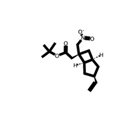 C=C[C@@H]1C[C@@H]2C[C@@](CC(=O)OC(C)(C)C)(C[N+](=O)[O-])[C@@H]2C1